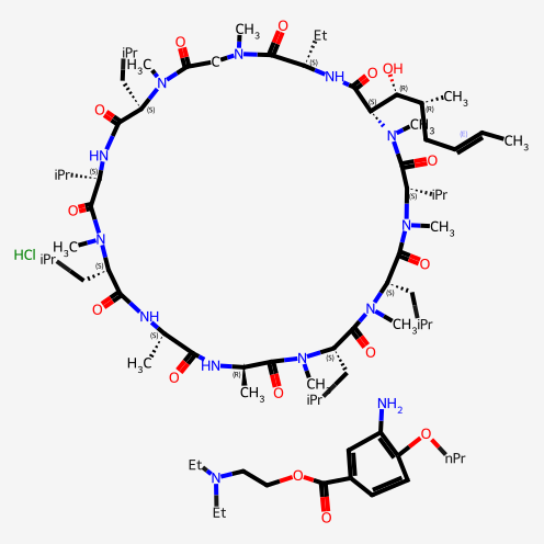 C/C=C/C[C@@H](C)[C@@H](O)[C@H]1C(=O)N[C@@H](CC)C(=O)N(C)CC(=O)N(C)[C@@H](CC(C)C)C(=O)N[C@@H](C(C)C)C(=O)N(C)[C@@H](CC(C)C)C(=O)N[C@@H](C)C(=O)N[C@H](C)C(=O)N(C)[C@@H](CC(C)C)C(=O)N(C)[C@@H](CC(C)C)C(=O)N(C)[C@@H](C(C)C)C(=O)N1C.CCCOc1ccc(C(=O)OCCN(CC)CC)cc1N.Cl